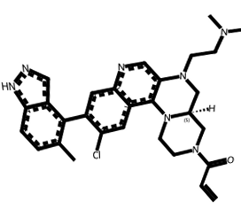 C=CC(=O)N1CCN2c3c(cnc4cc(-c5c(C)ccc6[nH]ncc56)c(Cl)cc34)N(CCN(C)C)C[C@H]2C1